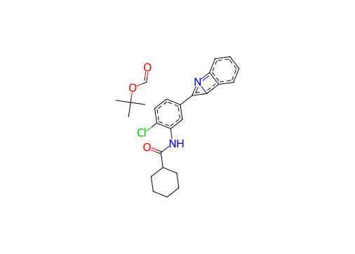 CC(C)(C)OC=O.O=C(Nc1cc(-c2c3c4ccccc4n2-3)ccc1Cl)C1CCCCC1